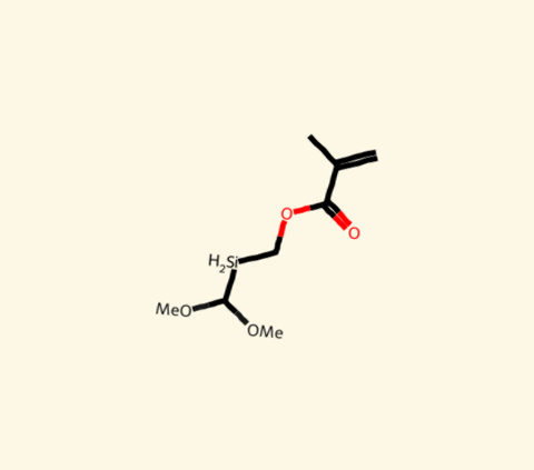 C=C(C)C(=O)OC[SiH2]C(OC)OC